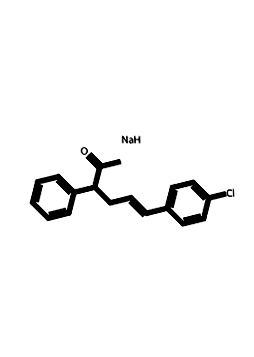 CC(=O)C(CC=Cc1ccc(Cl)cc1)c1ccccc1.[NaH]